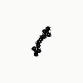 c1ccc(N(c2ccc3c(c2)oc2cc4cc5oc6cc(N(c7ccccc7)c7cccc8c7oc7ccccc78)ccc6c5cc4cc23)c2cccc3c2oc2ccccc23)cc1